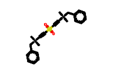 C[Si](C)(C#CS(=O)(=O)C#C[Si](C)(C)Cc1ccccc1)Cc1ccccc1